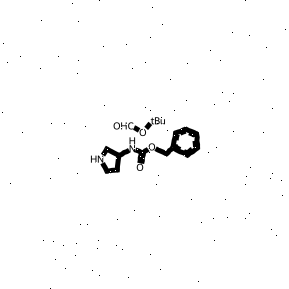 CC(C)(C)OC=O.O=C(NC1CCNC1)OCc1ccccc1